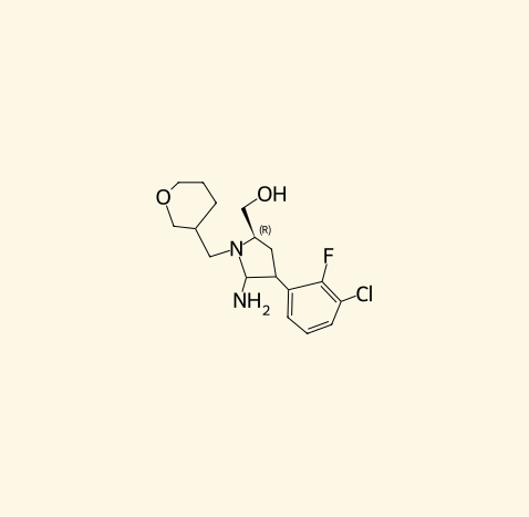 NC1C(c2cccc(Cl)c2F)C[C@H](CO)N1CC1CCCOC1